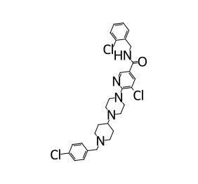 O=C(NCc1ccccc1Cl)c1cnc(N2CCN(C3CCN(Cc4ccc(Cl)cc4)CC3)CC2)c(Cl)c1